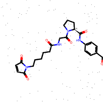 O=C(CCCCCN1C(=O)C=CC1=O)NCC(=O)N1CCC[C@H]1C(=O)Nc1ccc(CO)cc1